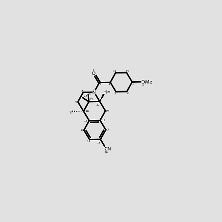 COC1CCC(C(=O)N2CC[C@]3(C)c4ccc(C#N)cc4C[C@@H]2C3(C)C)CC1